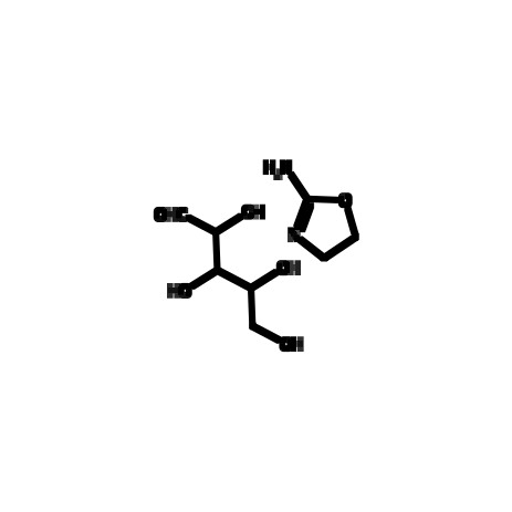 NC1=NCCO1.O=CC(O)C(O)C(O)CO